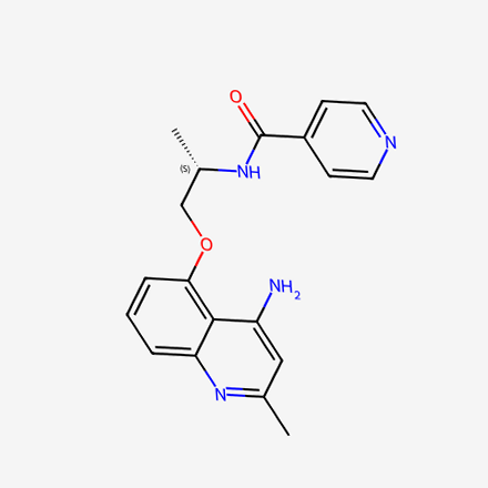 Cc1cc(N)c2c(OC[C@H](C)NC(=O)c3ccncc3)cccc2n1